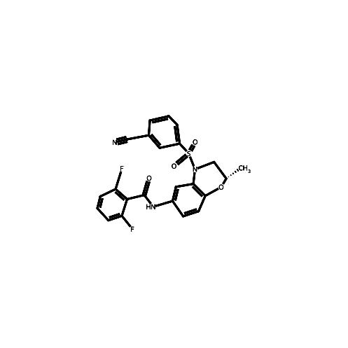 C[C@H]1CN(S(=O)(=O)c2cccc(C#N)c2)c2cc(NC(=O)c3c(F)cccc3F)ccc2O1